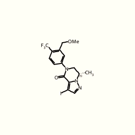 COCc1cc(N2C[C@H](C)n3ncc(I)c3C2=O)ccc1C(F)(F)F